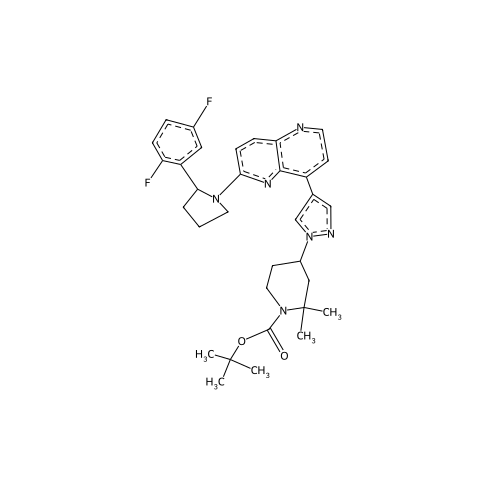 CC(C)(C)OC(=O)N1CCC(n2cc(-c3ccnc4ccc(N5CCCC5c5cc(F)ccc5F)nc34)cn2)CC1(C)C